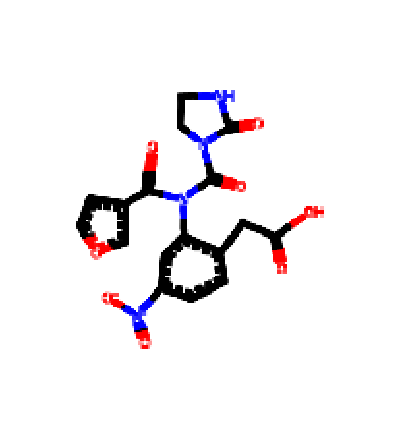 O=C(O)Cc1ccc([N+](=O)[O-])cc1N(C(=O)c1ccoc1)C(=O)N1CCNC1=O